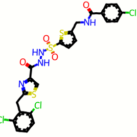 O=C(NCc1ccc(S(=O)(=O)NNC(=O)c2csc(Cc3c(Cl)cccc3Cl)n2)s1)c1ccc(Cl)cc1